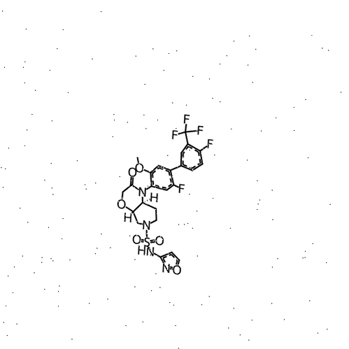 COc1cc(-c2ccc(F)c(C(F)(F)F)c2)c(F)cc1N1C(=O)CO[C@H]2CN(S(=O)(=O)Nc3ccon3)CC[C@@H]21